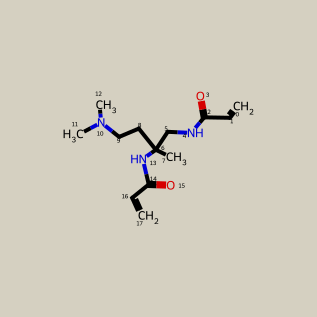 C=CC(=O)NCC(C)(CCN(C)C)NC(=O)C=C